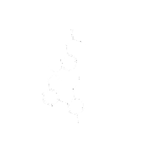 N=C(N)Nc1cccc(S(=O)(=O)Nc2cccc(-c3cc(F)ccc3CCC(=O)O)c2)c1